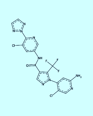 Nc1cc(-n2ncc(C(=O)Nc3cnc(-n4nccn4)c(Cl)c3)c2C(F)(F)F)c(Cl)cn1